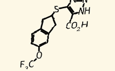 O=C(O)c1[nH]nnc1SC1Cc2ccc(OC(F)(F)F)cc2C1